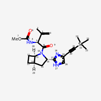 C=C(C)[C@H](NC(=O)OC)C(=O)N1[C@@H]2CC[C@@H]2C[C@H]1c1nc(C#C[Si](C)(C)C)c[nH]1